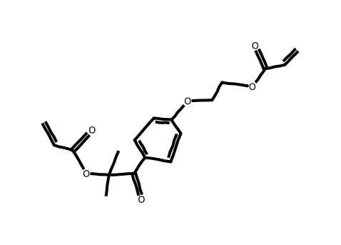 C=CC(=O)OCCOc1ccc(C(=O)C(C)(C)OC(=O)C=C)cc1